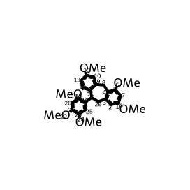 COc1cc2c(c(OC)c1)Cc1cc(OC)cc(OC)c1C(c1ccc(OC)c(OC)c1)C2